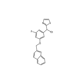 CCC(c1cc(F)cc(OCc2ccc3ccccc3c2)c1)c1nccs1